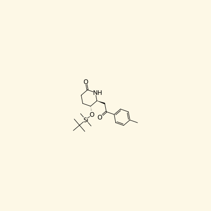 Cc1ccc(C(=O)C[C@@H]2NC(=O)CC[C@H]2O[Si](C)(C)C(C)(C)C)cc1